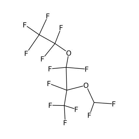 FC(F)OC(F)(C(F)(F)F)C(F)(F)OC(F)(F)C(F)(F)F